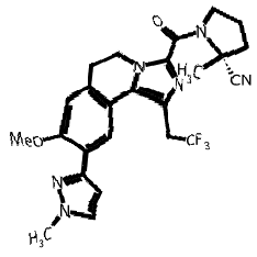 COc1cc2c(cc1-c1ccn(C)n1)-c1c(CC(F)(F)F)nc(C(=O)N3CCC[C@]3(C)C#N)n1CC2